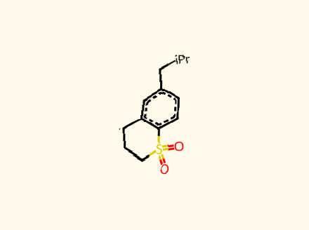 CC(C)Cc1ccc2c(c1)[CH]CCS2(=O)=O